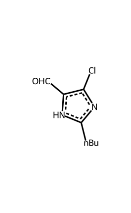 CCCCc1nc(Cl)c(C=O)[nH]1